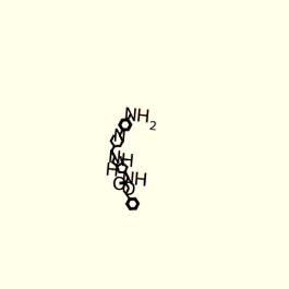 Nc1ccc(N2CCC(CN3C[C@H]4CC(NC(=O)OCc5ccccc5)C[C@H]4C3)CC2)cc1